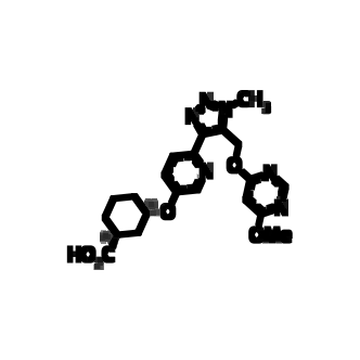 COc1cc(OCc2c(-c3ccc(O[C@H]4CCC[C@H](C(=O)O)C4)cn3)nnn2C)ncn1